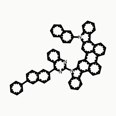 c1ccc(-c2ccc3cc(-c4nc(-n5c6ccccc6c6c7cccc8c9cccc%10c9c(cc9c%10c%10ccccc%10n9-c9ccc%10ccccc%10c9)c(cc65)c87)nc5ccccc45)ccc3c2)cc1